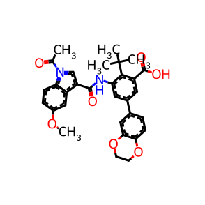 COc1ccc2c(c1)c(C(=O)Nc1cc(-c3ccc4c(c3)OCCO4)cc(C(=O)O)c1C(C)(C)C)cn2C(C)=O